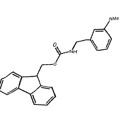 CNc1cccc(CNC(=O)OCC2c3ccccc3-c3ccccc32)c1